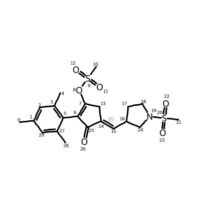 Cc1cc(C)c(C2=C(OS(C)(=O)=O)C/C(=C\C3CCN(S(C)(=O)=O)C3)C2=O)c(C)c1